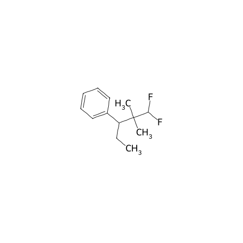 CCC(c1ccccc1)C(C)(C)C(F)F